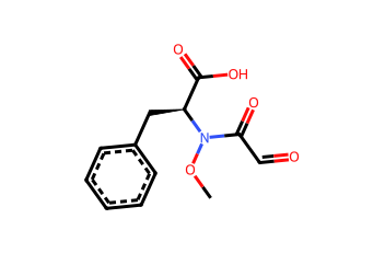 CON(C(=O)C=O)[C@@H](Cc1ccccc1)C(=O)O